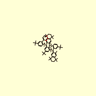 Cc1cc2c(cc1N1c3cc(C(C)(C)C)ccc3B3c4cc5c(cc4N(c4ccc(C(C)(C)C)cc4-c4ccccc4)c4cc(C(C)(C)C)cc1c43)C(C)(C)CCC5(C)C)C(C)(C)CCC2(C)C